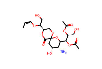 C/C=C\OC(CO)[C@H]1CO[C@@]2(C[C@@H](O)[C@@H](N)C([C@H](OC(C)=O)[C@@H](CO)OC(C)=O)O2)C(=O)O1